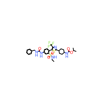 CCNS(=O)(=O)c1cc(NC(=O)NCc2ccccc2)ccc1-c1sc(C2CCC(NC(=O)OC(C)C)CC2)nc1C(F)(F)F